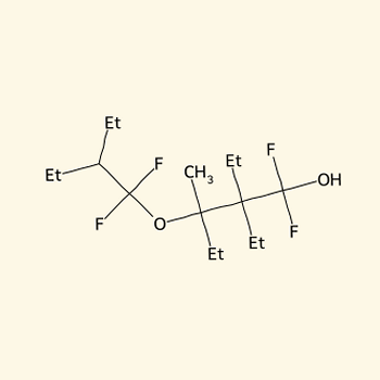 CCC(CC)C(F)(F)OC(C)(CC)C(CC)(CC)C(O)(F)F